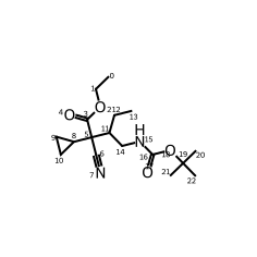 CCOC(=O)C(C#N)(C1CC1)C(CC)CNC(=O)OC(C)(C)C